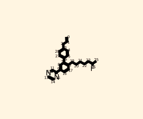 C=CCc1ccc(-c2cc(-c3cnccn3)ccc2CCCCCC(C)F)cc1